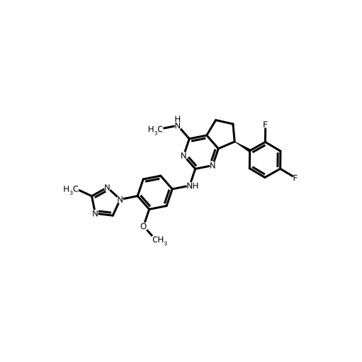 CNc1nc(Nc2ccc(-n3cnc(C)n3)c(OC)c2)nc2c1CC[C@H]2c1ccc(F)cc1F